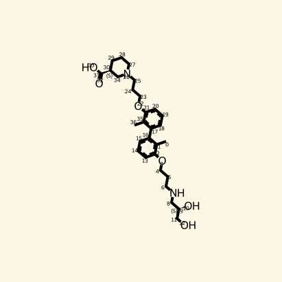 Cc1c(OCCCNC[C@H](O)CO)cccc1-c1cccc(OCCCN2CCC[C@H](C(=O)O)C2)c1C